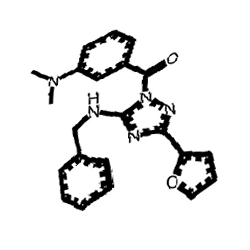 CN(C)c1cccc(C(=O)n2nc(-c3ccco3)nc2NCc2ccccc2)c1